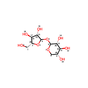 OC[C@H]1OC(OC2OC[C@@H](O)[C@H](O)[C@H]2O)[C@@H](O)[C@@H]1O